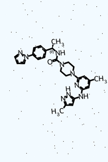 Cc1cc(Nc2cc(C)n[nH]2)nc(N2CCN(C(=O)N[C@H](C)c3ccc(-n4cccn4)cc3)CC2)c1